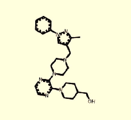 Cc1nn(-c2ccccc2)cc1CN1CCN(c2nccnc2N2CCC(CO)CC2)CC1